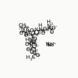 CCN1CCN(C(=O)N[C@H](C(=O)N[C@@H]2C(=O)N3C(C(=O)[O-])=C(COC(C)=O)CS[C@@H]23)c2ccc(NC(=O)OC[C@@H](N)C(=O)[O-])cc2)C(=O)C1=O.[Na+].[Na+]